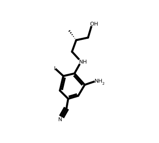 C[C@H](CO)CNc1c(N)cc(C#N)cc1I